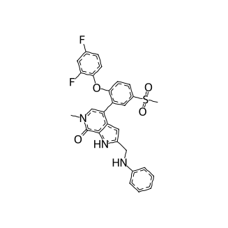 Cn1cc(-c2cc(S(C)(=O)=O)ccc2Oc2ccc(F)cc2F)c2cc(CNc3ccccc3)[nH]c2c1=O